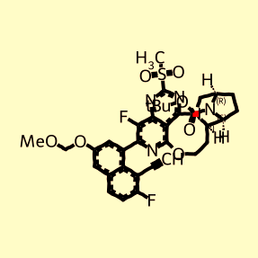 C#Cc1c(F)ccc2cc(OCOC)cc(-c3nc4c5c(nc(S(C)(=O)=O)nc5c3F)N3C[C@H]5CC[C@@H]([C@H]3CCO4)N5C(=O)OC(C)(C)C)c12